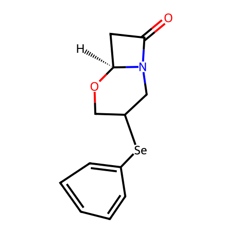 O=C1C[C@@H]2OCC([Se]c3ccccc3)CN12